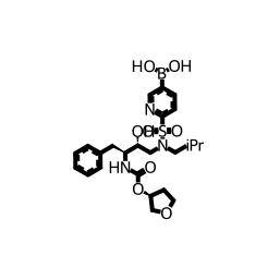 CC(C)CN(C[C@@H](O)[C@H](Cc1ccccc1)NC(=O)O[C@H]1CCOC1)S(=O)(=O)c1ccc(B(O)O)cn1